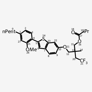 CCCCCc1ccc(-c2cc3ccc(OCC(C)(COC(=O)C(C)C)CC(F)(F)F)cc3s2)c(OC)c1